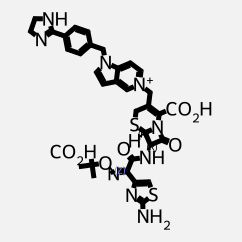 CC(C)(O/N=C(\C(=O)N[C@@H]1C(=O)N2C(C(=O)O)=C(C[n+]3ccc4c(ccn4Cc4ccc(C5=NCCN5)cc4)c3)CS[C@H]12)c1csc(N)n1)C(=O)O